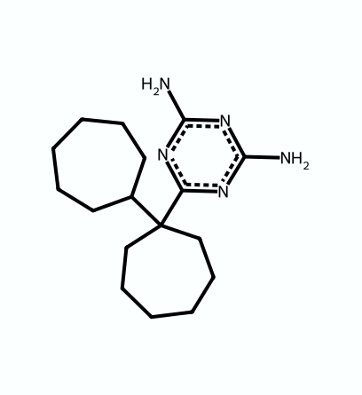 Nc1nc(N)nc(C2(C3CCCCCC3)CCCCCC2)n1